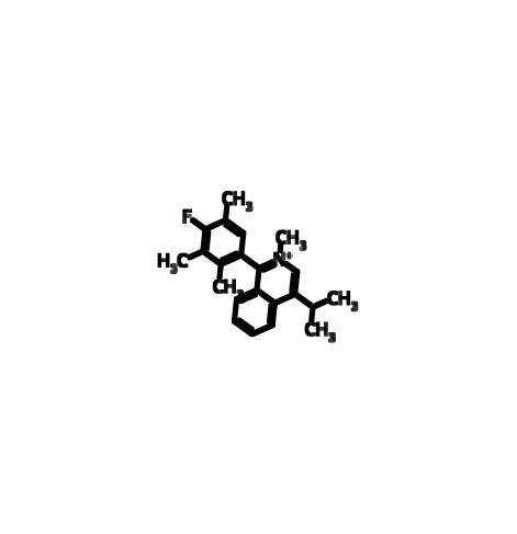 Cc1cc(-c2c3ccccc3c(C(C)C)c[n+]2C)c(C)c(C)c1F